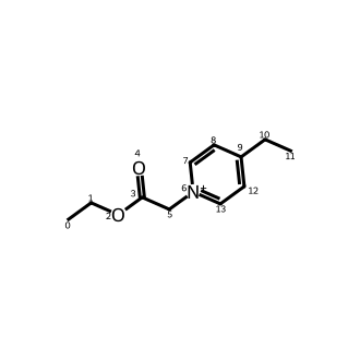 CCOC(=O)C[n+]1ccc(CC)cc1